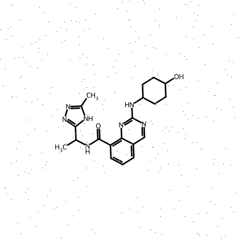 Cc1nnc(C(C)NC(=O)c2cccc3cnc(NC4CCC(O)CC4)nc23)[nH]1